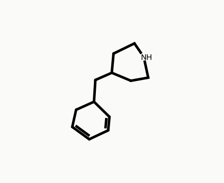 C1=CCC(CC2CCNCC2)C=C1